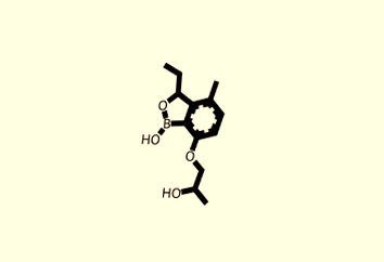 CCC1OB(O)c2c(OCC(C)O)ccc(C)c21